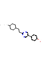 CCCCCC1CCC(CCc2ncc(-c3ccc(OCC)cc3)cn2)CC1